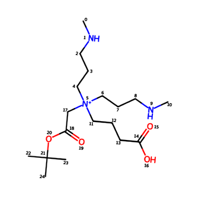 CNCCC[N+](CCCNC)(CCCC(=O)O)CC(=O)OC(C)(C)C